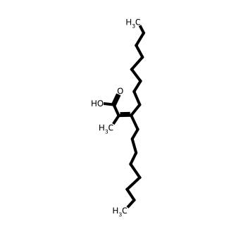 CCCCCCCCC(CCCCCCCC)=C(C)C(=O)O